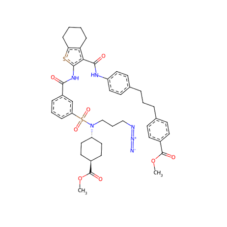 COC(=O)c1ccc(CCCc2ccc(NC(=O)c3c(NC(=O)c4cccc(S(=O)(=O)N(CCCN=[N+]=[N-])[C@H]5CC[C@H](C(=O)OC)CC5)c4)sc4c3CCCC4)cc2)cc1